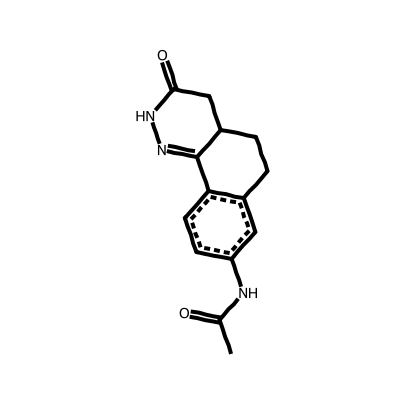 CC(=O)Nc1ccc2c(c1)CCC1CC(=O)NN=C21